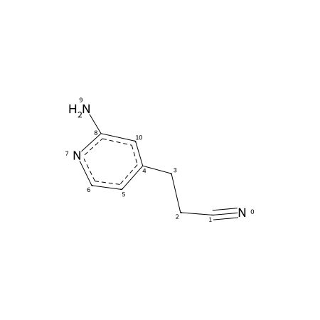 N#CCCc1ccnc(N)c1